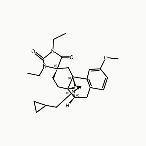 CCN1C(=O)N(CC)[C@]2(CC[C@@]3(O)[C@H]4Cc5ccc(OC)cc5[C@@]3(CCN4CC3CC3)C2)C1=O